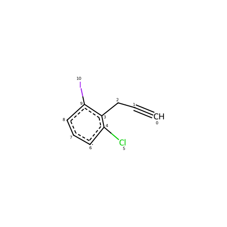 C#CCc1c(Cl)[c]ccc1I